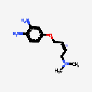 CN(C)C/C=C\COc1ccc(N)c(N)c1